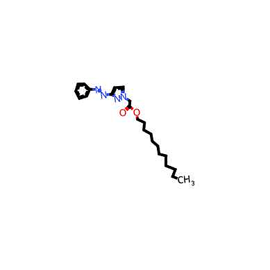 CCCCCCCCCCCCOC(=O)Cn1ccc(/N=N/c2ccccc2)n1